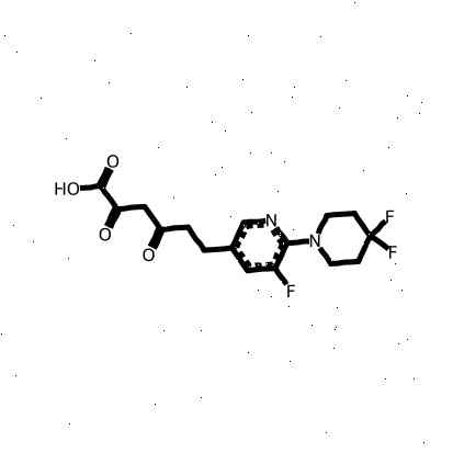 O=C(CCc1cnc(N2CCC(F)(F)CC2)c(F)c1)CC(=O)C(=O)O